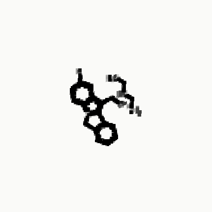 CCNCC.CCc1c2n(c3ccc(Br)cc13)Cc1ccccc1-2